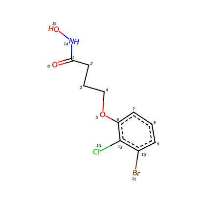 O=C(CCCOc1cccc(Br)c1Cl)NO